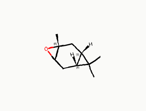 CC1(C)[C@@H]2CC3O[C@]3(C)C[C@@H]21